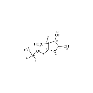 CC1(C(=O)O)C(CO[Si](C)(C)C(C)(C)C)OC(O)C1O